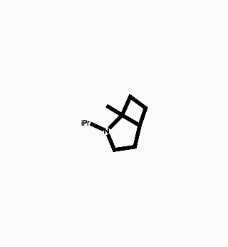 CC(C)N1CCC2CCC21C